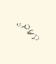 O=S(=O)(NC[C@@H]1CCCN1)c1cccc(OC(F)(F)F)c1